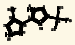 FC(F)(F)c1c[nH]c(-c2n[nH]cc2Br)n1